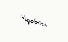 C=CCCCCc1ccc(-c2ccc(-c3ccc(C4CCC(C=C)CC4)cc3F)cc2)c(F)c1F